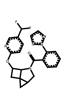 O=C(c1ccccc1-n1nccn1)N1CC2CC23CC(Oc2ccc(C(F)F)cn2)C13